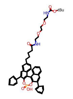 CC(C)(C)OC(=O)NCCOCCOCCNC(=O)CCCCc1ccc2c3c(c(-c4ccccc4)cc2c1)OP(=O)(O)Oc1c(-c2ccccc2)cc2ccccc2c1-3